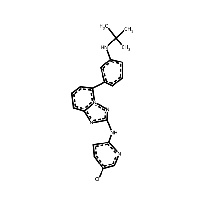 CC(C)(C)Nc1cccc(-c2cccc3nc(Nc4ccc(Cl)cn4)nn23)c1